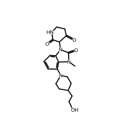 Cn1c(=O)n(C2C(=O)CCNC2=O)c2cccc(N3CCC(CCO)CC3)c21